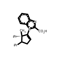 CC(C)C1CC=C(n2c(C(=O)O)nc3ccccc32)[C@@]1(C)C(C)C